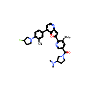 COc1cc(C(=O)N2CCC(N(C)C)C2)cnc1-c1cc2nccc(-c3ccc(N4CCC(F)C4)c(C#N)c3)c2o1